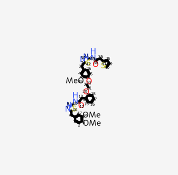 COc1ccc(Cc2nnc(NC(=O)Cc3ccccc3OCCOc3ccc(Cc4nnc(NC(=O)Cc5cccs5)s4)cc3OC)s2)cc1OC